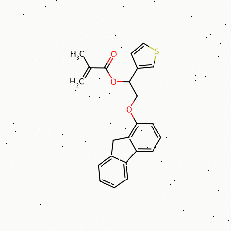 C=C(C)C(=O)OC(COc1cccc2c1Cc1ccccc1-2)c1ccsc1